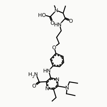 CCc1nc(C(N)=O)c(Nc2cccc(OCCCNC(=O)C(C)N(C)C(=O)O)c2)nc1N(CC)CC